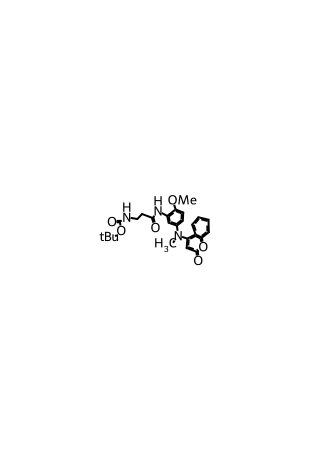 COc1ccc(N(C)c2cc(=O)oc3ccccc23)cc1NC(=O)CCNC(=O)OC(C)(C)C